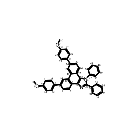 COc1ccc(-c2ccc3c(c2)c2cc(-c4ccc(OC)cc4)ccc2c2c3nc(-c3ccccc3)n2-c2ccccc2)cc1